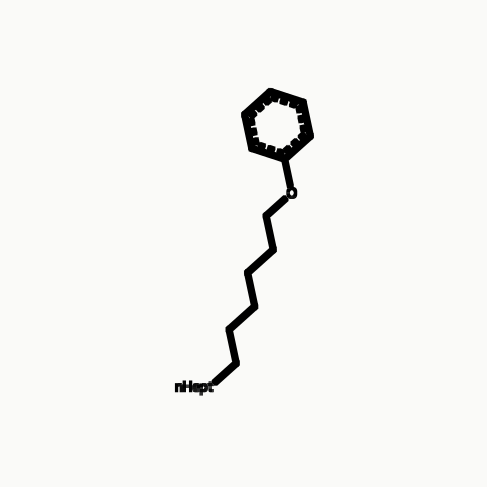 [CH2]CCCCCCCCCCCCOc1ccccc1